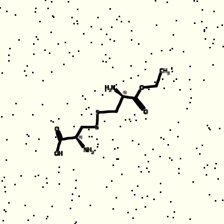 CCOC(=O)[C@H](N)CSSC[C@@H](N)C(=O)O